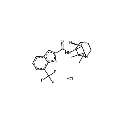 CC1(C)[C@H](NC(=O)c2cc3cccc(C(F)(F)F)c3s2)C2CCN1CC2.Cl